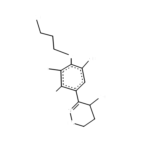 Cc1cc(C2=NNCCC2C)c(F)c(Cl)c1OCCCO